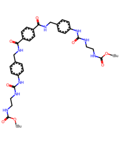 CC(C)(C)OC(=O)NCCNC(=O)Nc1ccc(CNC(=O)c2ccc(C(=O)NCc3ccc(NC(=O)NCCNC(=O)OC(C)(C)C)cc3)cc2)cc1